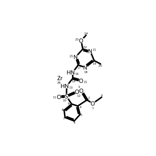 COC(=O)c1ccccc1S(=O)(=O)NC(=O)Nc1nc(C)nc(OC)n1.[Zr]